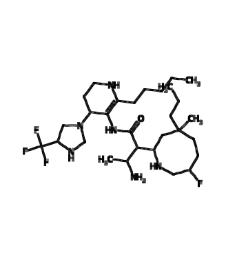 CCCCCC1=C(NC(=O)C(C(C)N)C2CC(C)(CCC)CCC(F)CN2)C(N2CNC(C(F)(F)F)C2)CCN1